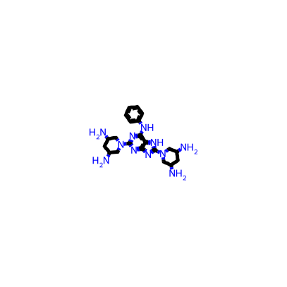 NC1CC(N)CN(c2nc(Nc3ccccc3)c3[nH]c(N4CC(N)CC(N)C4)nc3n2)C1